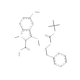 COC(=O)c1c(NC[C@@H](Cc2ccccc2)NC(=O)OC(C)(C)C)c2cc(OC)ccc2[s+]1[O-]